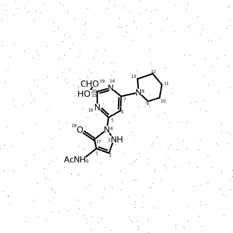 CC(=O)Nc1c[nH]n(-c2cc(N3CCCCC3)ncn2)c1=O.O=CO